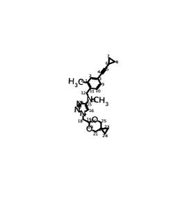 Cc1cc(C#CC2CC2)ccc1CN(C)c1cn(CC2OCC3(CC3)CO2)nn1